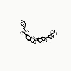 Cn1cc(-c2cc3cc(C(=O)Nc4cc(C(=O)NCCN5C6CCC5COC6)ccc4F)cnc3[nH]2)cn1